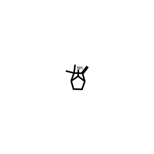 C=C1C2CCC(C2N)C1(C)C